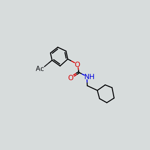 CC(=O)c1cccc(OC(=O)NCC2CCCCC2)c1